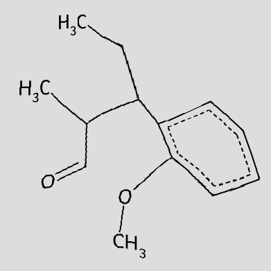 CCC(c1ccccc1OC)C(C)C=O